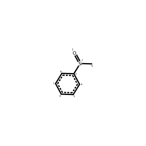 C[Si](=O)c1ccccc1